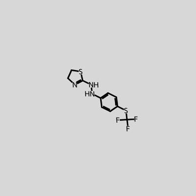 FC(F)(F)Sc1ccc(NNC2=NCCS2)cc1